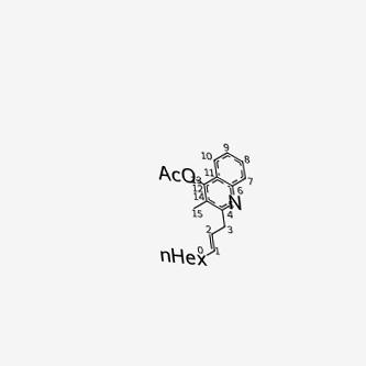 CCCCCC/C=C/Cc1nc2ccccc2c(OC(C)=O)c1C